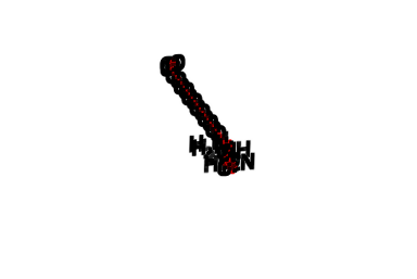 N#Cc1ccccc1N1C(=O)NC2(CCN(C(=O)Nc3cccc(/C(N)=C/N(N)CCOCCOCCOCCOCCOCCOCCOCCOCCOCCOCCOCCOCCC(=O)ON4C(=O)CCC4=O)c3)CC2)C1=O